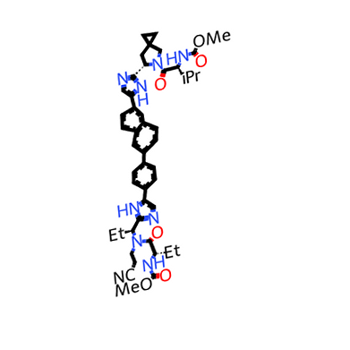 CC[C@H](NC(=O)OC)C(=O)N(CCC#N)[C@@H](CC)c1ncc(-c2ccc(-c3ccc4cc(-c5cnc([C@@H]6CC7(CC7)CN6C(=O)[C@@H](NC(=O)OC)C(C)C)[nH]5)ccc4c3)cc2)[nH]1